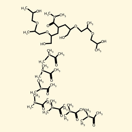 CC(=O)N(C)C.CC(=O)N(C)C.CC(=O)N(C)C.CC(=O)N(C)C.CC(=O)N(C)C.CC(=O)N(C)C.CC(=O)N(C)C.CC(O)COC(C)COC(CO)CC(CC(CO)OCC(C)OCC(C)O)C(=O)N(C)C